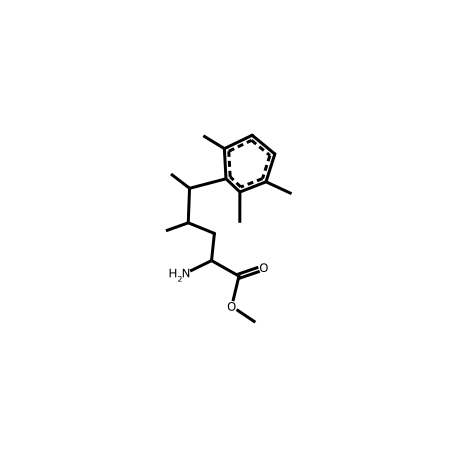 COC(=O)C(N)CC(C)C(C)c1c(C)ccc(C)c1C